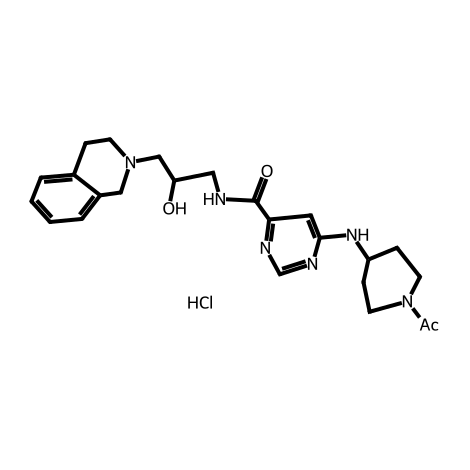 CC(=O)N1CCC(Nc2cc(C(=O)NCC(O)CN3CCc4ccccc4C3)ncn2)CC1.Cl